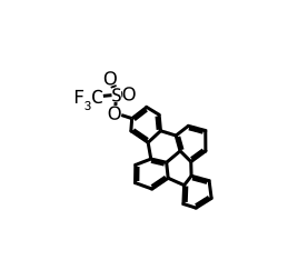 O=S(=O)(Oc1ccc2c(c1)c1cccc3c4ccccc4c4cccc2c4c31)C(F)(F)F